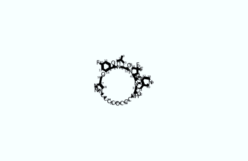 CC(C)C[C@H]1NC(=O)c2ccc(F)cc2OCc2cn(nn2)CCCCCCCCNC(=O)[C@H](Cc2cccnc2)N(C)C(=O)[C@H]2CC(F)(F)CN2C1=O